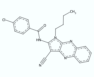 CCCCn1c(NC(=O)c2ccc(Cl)cc2)c(C#N)c2nc3ccccc3nc21